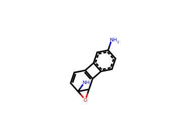 Nc1ccc2c(c1)C1=C2C2OC2(N)C=C1